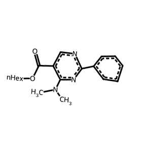 CCCCCCOC(=O)c1cnc(-c2ccccc2)nc1N(C)C